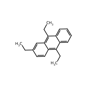 CCc1ccc2c(CC)c3ccccc3c(CC)c2c1